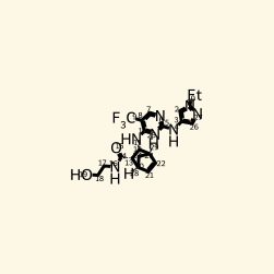 CCn1cc(Nc2ncc(C(F)(F)F)c(N[C@H]3[C@@H](C(=O)NCCO)[C@@H]4C=C[C@H]3C4)n2)cn1